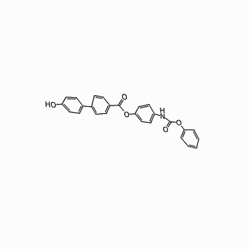 O=C(Nc1ccc(OC(=O)c2ccc(-c3ccc(O)cc3)cc2)cc1)Oc1ccccc1